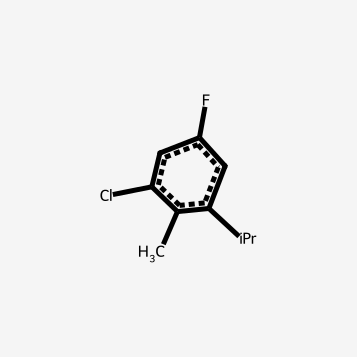 Cc1c(Cl)cc(F)cc1C(C)C